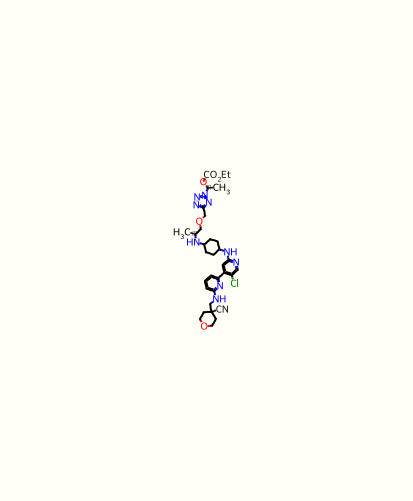 CCOC(=O)O[C@@H](C)n1nnc(COC[C@H](C)NC2CCC(Nc3cc(-c4cccc(NCC5(C#N)CCOCC5)n4)c(Cl)cn3)CC2)n1